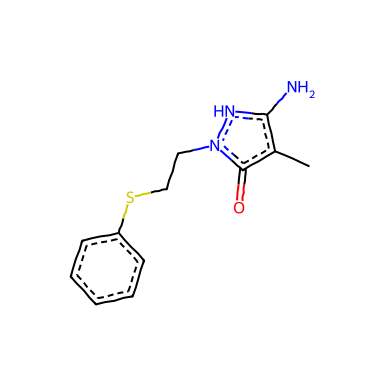 Cc1c(N)[nH]n(CCSc2ccccc2)c1=O